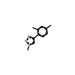 Cc1ccc(-c2cn(C)nn2)c(C)c1